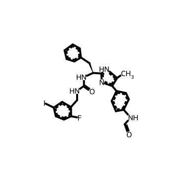 Cc1[nH]c([C@H](Cc2ccccc2)NC(=O)NCc2cc(I)ccc2F)nc1-c1ccc(NC=O)cc1